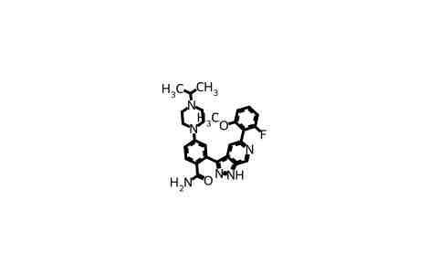 COc1cccc(F)c1-c1cc2c(-c3cc(N4CCN(C(C)C)CC4)ccc3C(N)=O)n[nH]c2cn1